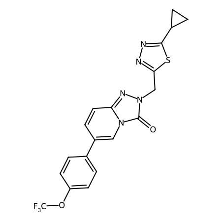 O=c1n(Cc2nnc(C3CC3)s2)nc2ccc(-c3ccc(OC(F)(F)F)cc3)cn12